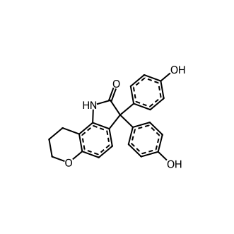 O=C1Nc2c(ccc3c2CCCO3)C1(c1ccc(O)cc1)c1ccc(O)cc1